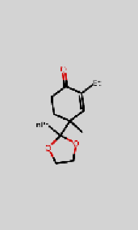 CCCC1(C2(C)C=C(CC)C(=O)CC2)OCCO1